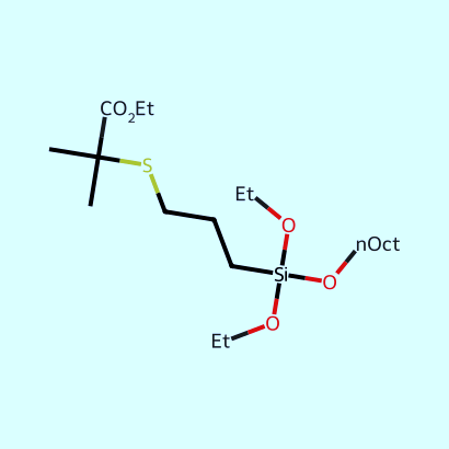 CCCCCCCCO[Si](CCCSC(C)(C)C(=O)OCC)(OCC)OCC